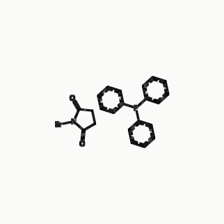 O=C1CCC(=O)N1Br.c1ccc(P(c2ccccc2)c2ccccc2)cc1